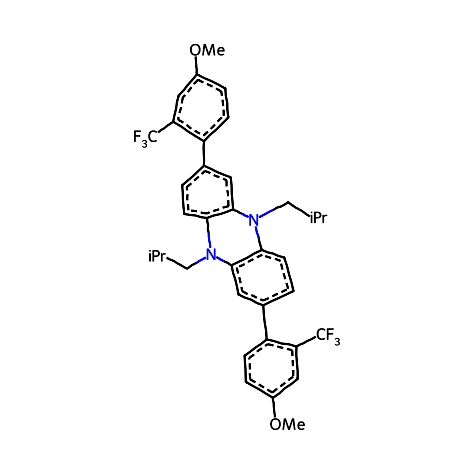 COc1ccc(-c2ccc3c(c2)N(CC(C)C)c2ccc(-c4ccc(OC)cc4C(F)(F)F)cc2N3CC(C)C)c(C(F)(F)F)c1